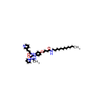 CCCCCCCCCCCCNC(=O)CCCOc1ccc(NC(NC(=O)CCc2cccnc2)C(=O)N(CC)N2CCCC2)cc1